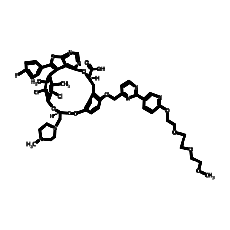 COCCOCCOCCOc1ccc(-c2nccc(COc3ccc4cc3C[C@H](C(=O)O)Oc3ncnc5sc(-c6ccc(F)cc6)c(c35)-c3c(C)c(Cl)c(c(Cl)c3C)O[C@H](CN3CCN(C)CC3)CO4)n2)cn1